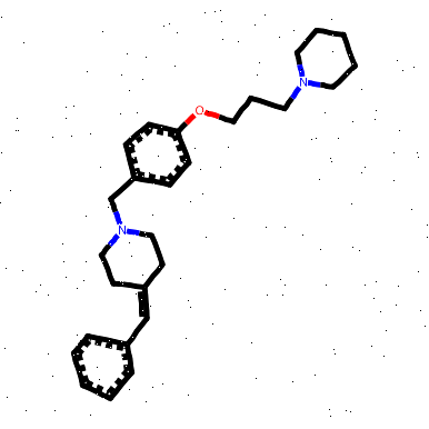 C(=C1CCN(Cc2ccc(OCCCN3CCCCC3)cc2)CC1)c1ccccc1